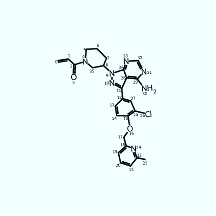 C=CC(=O)N1CCCC(n2nc(-c3ccc(OCc4cccc(C)n4)c(Cl)c3)c3c(N)ncnc32)C1